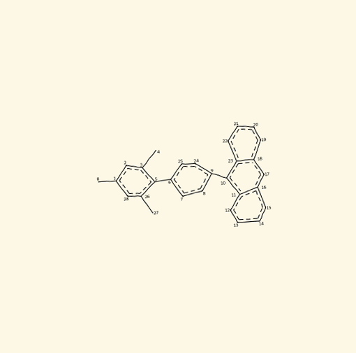 Cc1cc(C)c(-c2ccc(-c3c4ccccc4cc4ccccc34)cc2)c(C)c1